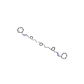 C(=C\c1ccccc1)/COCCCCOCCCCOC/C=C/c1ccccc1